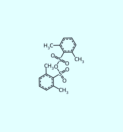 Cc1cccc(C)c1S(=O)(=O)OS(=O)(=O)c1c(C)cccc1C